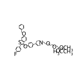 CC(C)(C)OC(=O)COCCOCCN1CC=C(c2ccc(Oc3c(-c4ccc(F)cc4)sc4cc(OCc5ccccc5)ccc34)cc2)CC1